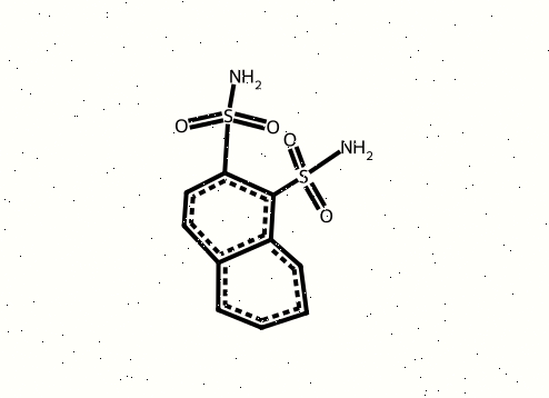 NS(=O)(=O)c1ccc2ccccc2c1S(N)(=O)=O